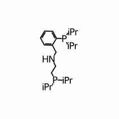 CC(C)P(CCNCc1ccccc1P(C(C)C)C(C)C)C(C)C